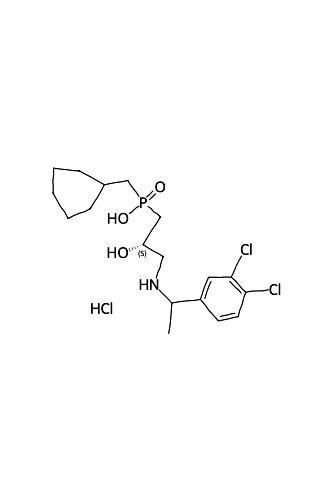 CC(NC[C@H](O)CP(=O)(O)CC1CCCCC1)c1ccc(Cl)c(Cl)c1.Cl